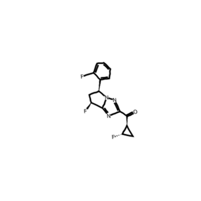 O=C(c1nc2n(n1)[C@H](c1ccccc1F)C[C@@H]2F)[C@H]1C[C@@H]1F